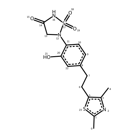 Cc1nc(C)c(CCc2ccc(N3CC(=O)NS3(=O)=O)c(O)c2)s1